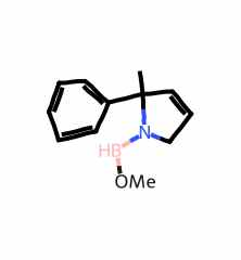 COBN1CC=CC1(C)c1ccccc1